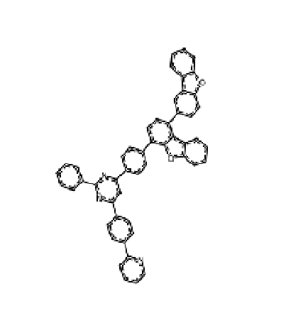 c1ccc(-c2nc(-c3ccc(-c4ccccn4)cc3)cc(-c3ccc(-c4ccc(-c5ccc6oc7ccccc7c6c5)c5c4oc4ccccc45)cc3)n2)cc1